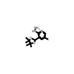 CC1(C)OC(c2cc(I)cnc2NN)OC1(C)C